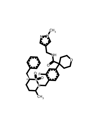 CC1CC[C@@H](Cc2ccccc2)S(=O)(=O)N1Cc1ccc(C2(C(=O)NCc3cnn(C)c3)CCOCC2)cc1F